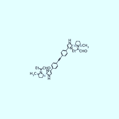 CC[C@@H]([C]=O)N1[C@@H](C)CC[C@H]1c1nc(-c2ccc(C#Cc3ccc(-c4c[nH]c([C@@H]5CC[C@H](C)N5[C@H]([C]=O)CC)n4)cc3)cc2)c[nH]1